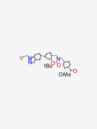 COC(=O)c1ccc(CN(Cc2ccc(-c3ccc4c(cnn4CC4CC4)c3)cc2)C(=O)OC(C)(C)C)cc1